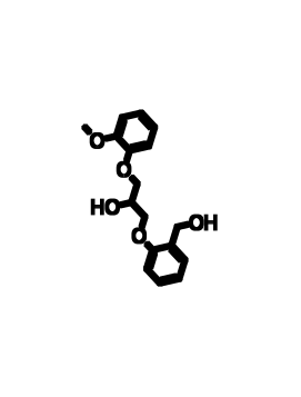 COc1ccccc1OCC(O)COc1ccccc1CO